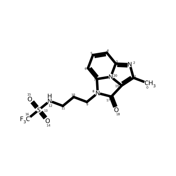 Cc1nc2cccc3n(CCCNS(=O)(=O)C(F)(F)F)c(=O)c1n23